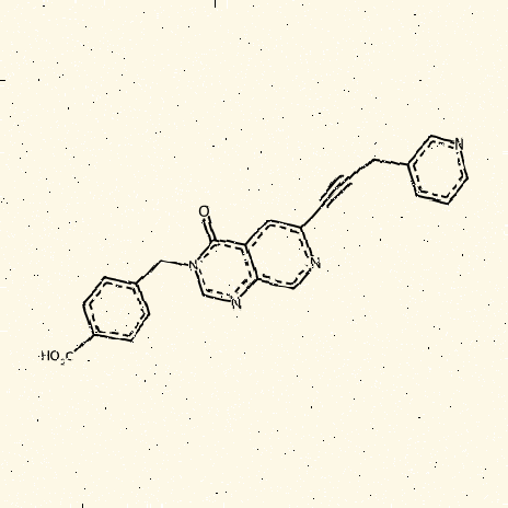 O=C(O)c1ccc(Cn2cnc3cnc(C#CCc4cccnc4)cc3c2=O)cc1